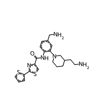 NCCC1CCCN(c2cc(CN)ccc2NC(=O)c2csc(-c3cccs3)n2)C1